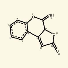 N=C1Oc2ccccc2C2=CC(=O)OC12